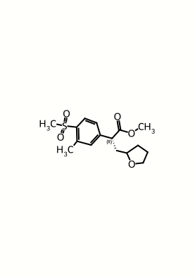 COC(=O)[C@H](CC1CCCO1)c1ccc(S(C)(=O)=O)c(C)c1